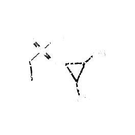 CCS(=O)(=O)O.OC1CC1O